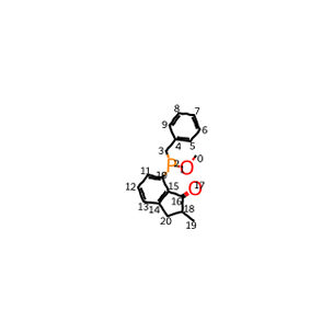 COP(Cc1ccccc1)c1cccc2c1C(=O)C(C)C2